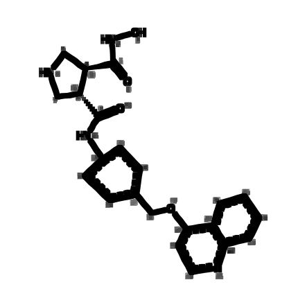 O=C(NO)[C@@H]1CNC[C@H]1C(=O)Nc1ccc(COc2ccnc3ccccc23)cc1